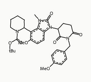 COc1ccc(CN2C(=O)CCC(n3c(=O)n(C)c4c(C5CCCCN5C(=O)OC(C)(C)C)c(OC)ccc43)C2=O)cc1